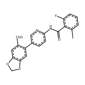 O=Cc1cc2c(cc1-c1ccc(NC(=O)c3c(F)cccc3F)nc1)OCO2